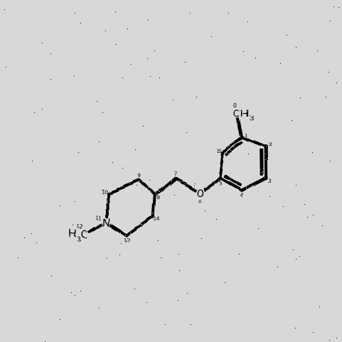 Cc1cccc(OCC2CCN(C)CC2)c1